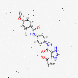 CNC(=O)c1nc[nH]c1C(=O)Nc1ccc(NC(=O)c2ccc(OC(F)(F)F)cc2F)cc1